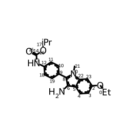 CCOc1ccc2c(N)c(-c3ccc(NC(=O)OC(C)C)cc3)n(C)c2c1